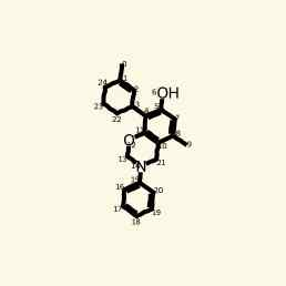 CC1=CC(c2c(O)cc(C)c3c2OCN(c2ccccc2)C3)CCC1